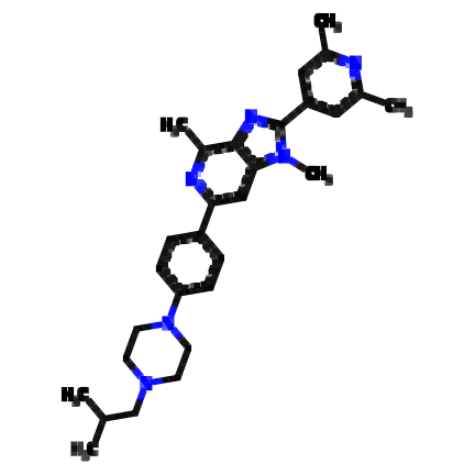 Cc1cc(-c2nc3c(C)nc(-c4ccc(N5CCN(CC(C)C)CC5)cc4)cc3n2C)cc(C)n1